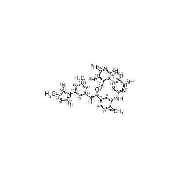 [2H]c1nc(Nc2cc(C(=O)Nc3cc(C)cc(-n4c([2H])cc(C)c4[2H])c3)ccc2C)nc(-c2c([2H])nc([2H])c([2H])c2[2H])c1[2H]